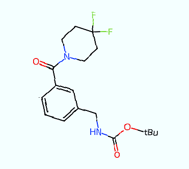 CC(C)(C)OC(=O)NCc1cc[c]c(C(=O)N2CCC(F)(F)CC2)c1